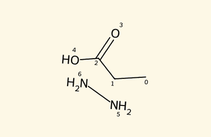 CCC(=O)O.NN